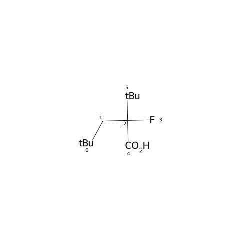 CC(C)(C)CC(F)(C(=O)O)C(C)(C)C